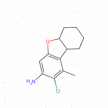 Cc1c(Cl)c(N)cc2c1C1CCCCC1O2